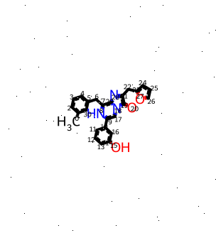 Cc1cccc(Cc2[nH]c(-c3cccc(O)c3)cn3c(=O)c(Cc4ccco4)nc2-3)c1